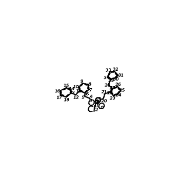 O=P(Cl)(OCCc1ccccc1Cc1ccccc1)OCCc1ccccc1Cc1ccccc1